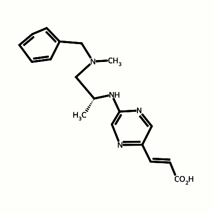 C[C@H](CN(C)Cc1ccccc1)Nc1cnc(/C=C/C(=O)O)cn1